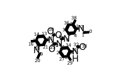 CC=Nc1cc(/N=c2\oc(=O)n(-c3ccc(C)c(N=CC)c3)c(=O)n2-c2ccc(C)c(NC=O)c2)ccc1C